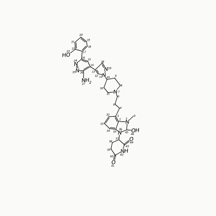 CN1c2c(CCCN3CCC(n4cc(-c5cc(-c6ccccc6O)nnc5N)cn4)CC3)cccc2N(C2CCC(=O)NC2=O)C1O